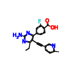 CCc1nc(N)nc(-c2ccc(C(=O)O)c(F)c2)c1C#Cc1ccc(C)nc1